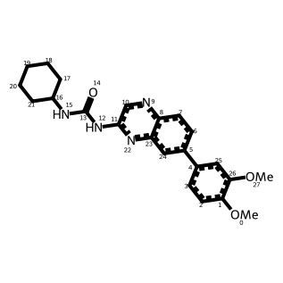 COc1ccc(-c2ccc3ncc(NC(=O)NC4CCCCC4)nc3c2)cc1OC